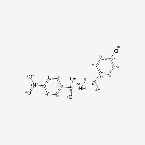 O=[N+]([O-])c1ccc(S(=O)(=O)NCC(F)c2ccc(Cl)cc2)cc1